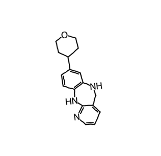 c1cnc2c(c1)CNc1cc(C3CCOCC3)ccc1N2